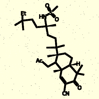 CCC(C)(C)CC[C@@](C)(CCC(C)(C)[C@]1(C)CC[C@H]2C(C)(C)C(=O)C(C#N)=C[C@]2(C)C1CC(C)=O)NS(C)(=O)=O